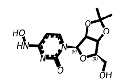 CC1(C)OC2C(O1)[C@@H](CO)O[C@H]2n1ccc(NO)nc1=O